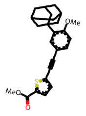 COC(=O)c1ccc(C#Cc2ccc(OC)c(C34CC5CC(CC(C5)C3)C4)c2)s1